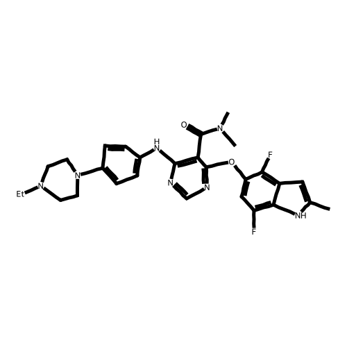 CCN1CCN(c2ccc(Nc3ncnc(Oc4cc(F)c5[nH]c(C)cc5c4F)c3C(=O)N(C)C)cc2)CC1